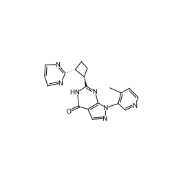 Cc1ccncc1-n1ncc2c(=O)[nH]c([C@@H]3CC[C@H]3c3ncccn3)nc21